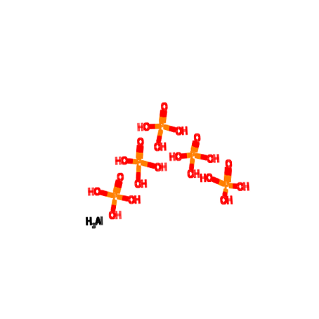 O=P(O)(O)O.O=P(O)(O)O.O=P(O)(O)O.O=P(O)(O)O.O=P(O)(O)O.[AlH3]